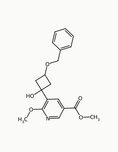 COC(=O)c1cnc(OC)c(C2(O)CC(OCc3ccccc3)C2)c1